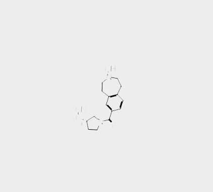 CO[C@@H]1CCN(C(=O)c2ccc3c(c2)CCN(C)CC3)C1